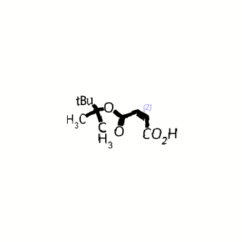 CC(C)(C)C(C)(C)OC(=O)/C=C\C(=O)O